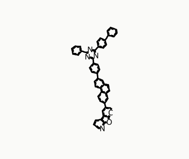 c1ccc(-c2ccc(-c3nc(-c4ccccc4)nc(-c4ccc(-c5ccc6c(ccc7cc(-c8ccc9oc%10ncccc%10c9c8)ccc76)c5)cc4)n3)cc2)cc1